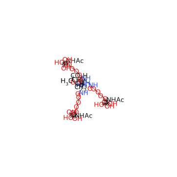 CC(=O)NC1[C@H](OCCOCCOCCOCC(=O)N[C@@H](CCCCNC(=O)COCCOCCOCCO[C@@H]2O[C@H](CO)[C@H](O)[C@H](O)[C@H]2NC(C)=O)C(=O)N[C@@H](CCCCNC(=O)COCCOCCOCCO[C@@H]2O[C@H](CO)[C@H](O)[C@H](O)[C@H]2NC(C)=O)C(=O)NC(C)(C)CCOC(C)(C)CCC(=O)O)O[C@H](CO)[C@H](O)[C@@H]1O